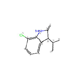 C=C1Nc2c(Cl)cccc2C1C(C)C